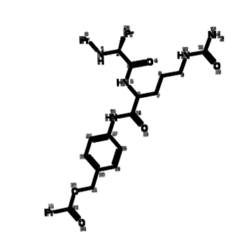 CC(C)N[C@H](C(=O)NC(CCCNC(N)=O)C(=O)Nc1ccc(COC(=O)C(C)C)cc1)C(C)C